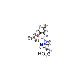 C=Nc1c(/C=C/C(=O)O)ccn1CCc1cc(Br)ccc1OCC(CC)CC